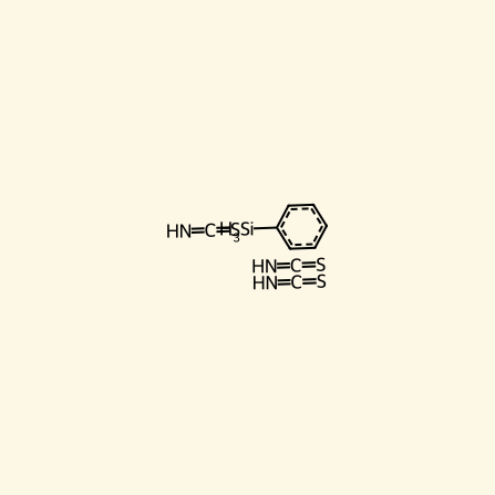 N=C=S.N=C=S.N=C=S.[SiH3]c1ccccc1